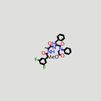 COC(=O)CN(C(=O)[C@H](Cc1ccccc1)NC(=O)[C@H](C)NC(=O)Cc1cc(F)cc(F)c1)c1ccccc1